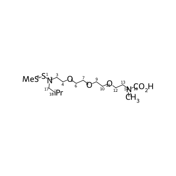 CSSN(CCOCCOCCOCCN(C)C(=O)O)CC(C)C